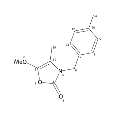 COc1oc(=O)n(Cc2ccc(C)cc2)c1C